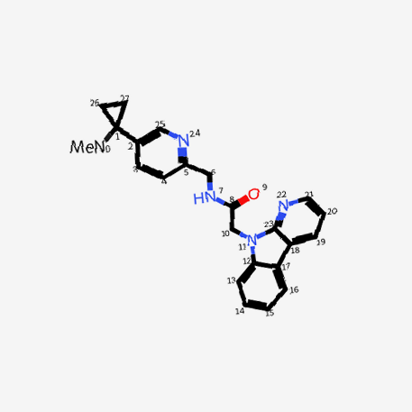 CNC1(c2ccc(CNC(=O)Cn3c4ccccc4c4cccnc43)nc2)CC1